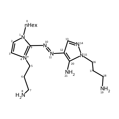 CCCCCCn1cc[n+](CCCN)c1/N=N/c1cnn(CCCN)c1N